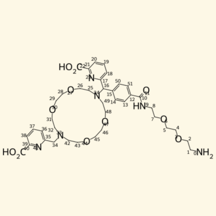 NCCOCCOCCNC(=O)c1ccc(C(c2cccc(C(=O)O)n2)N2CCOCCOCCN(Cc3cccc(C(=O)O)n3)CCOCCOCC2)cc1